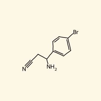 N#CCC(N)c1ccc(Br)cc1